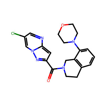 O=C(c1cc2ncc(Cl)cn2n1)N1CCc2cccc(N3CCOCC3)c2C1